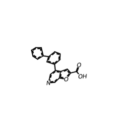 O=C(O)c1cc2c(-c3cccc(-c4ccccc4)c3)cncc2o1